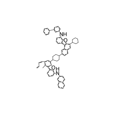 C=C/C=C\c1cc(C2CCC(c3ccc4cc(C5CCCCC5)c5oc6c(Nc7cccc(-c8ccccc8)c7)cccc6c5c4c3)CC2)c2oc3c(Nc4ccc5ccccc5c4)cccc3c2c1C